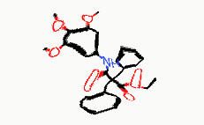 CCOC(=O)C(C(=O)Nc1cc(OC)c(OC)c(OC)c1)(c1ccccc1)c1ccccc1